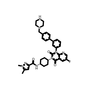 Cc1cc(C(=O)N[C@H]2CC[C@@H](n3c(=O)c4cc(F)cnc4n(-c4cccc(-c5ccc(CN6CCNCC6)cc5)c4)c3=O)CC2)nn1C